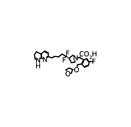 O=C(O)C(c1cc(F)ccc1CO[C@H]1CCOC1)N1CC[C@@H](C(F)(F)CCCCc2ccc3c(n2)NCCC3)C1